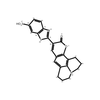 O=c1oc2c3c4c(cc2cc1-c1nc2ccc(S(=O)(=O)O)cc2s1)CCCN4CCC3